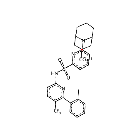 Cc1ccccc1-c1nc(NS(=O)(=O)c2cccc(N3C4CCCC3CC(C(=O)O)C4)n2)ccc1C(F)(F)F